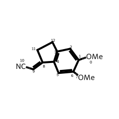 COc1cc2c(cc1OC)C(=CC#N)CC2